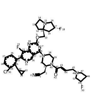 N#CC[C@H]1CN(c2nc(OC[C@@]34CCCN3C[C@H](F)C4)nc3c(F)c(-c4cccc(Cl)c4C4CC4)ncc23)CCN1C(=O)/C=C/CN1CC[C@H](F)C1